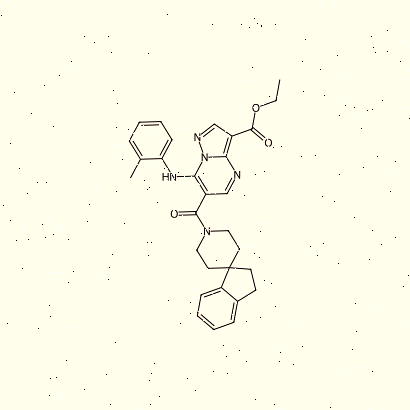 CCOC(=O)c1cnn2c(Nc3ccccc3C)c(C(=O)N3CCC4(CCc5ccccc54)CC3)cnc12